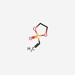 C=CP1(=O)OCCO1